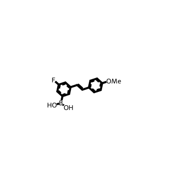 COc1ccc(/C=C/c2cc(F)cc(B(O)O)c2)cc1